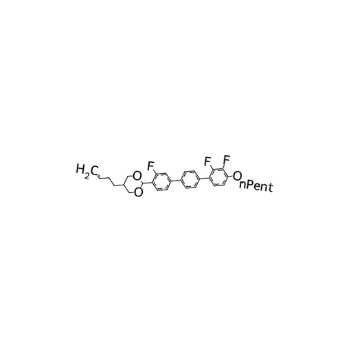 C=CCCC1COC(c2ccc(-c3ccc(-c4ccc(OCCCCC)c(F)c4F)cc3)cc2F)OC1